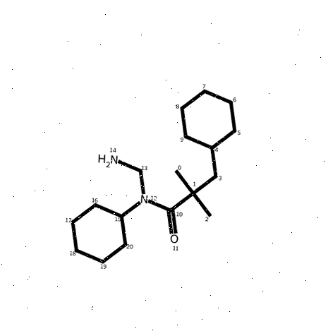 CC(C)(CC1CCCCC1)C(=O)N(CN)C1CCCCC1